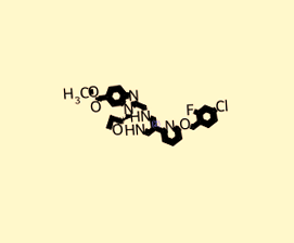 COC(=O)c1ccc2nc(CN/C=C(\C=N)c3cccc(OCc4ccc(Cl)cc4F)n3)n(C[C@@H]3CCO3)c2c1